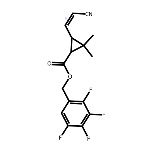 CC1(C)C(/C=C\C#N)C1C(=O)OCc1cc(F)c(F)c(F)c1F